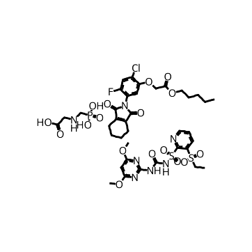 CCCCCOC(=O)COc1cc(N2C(=O)C3=C(CCCC3)C2=O)c(F)cc1Cl.CCS(=O)(=O)c1cccnc1S(=O)(=O)NC(=O)Nc1nc(OC)cc(OC)n1.O=C(O)CNCP(=O)(O)O